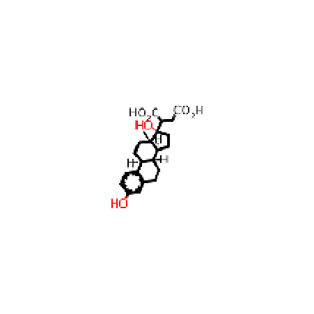 C[C@]12CC[C@@H]3c4ccc(O)cc4CC[C@H]3[C@@H]1CC[C@]2(O)C(CC(=O)O)C(=O)O